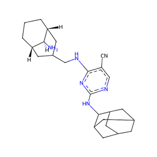 N#Cc1cnc(NC2C3CC4CC(C3)CC2C4)nc1NCC1C[C@H]2CCC[C@@H](C1)[C@@H]2N